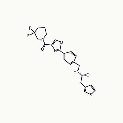 O=C(Cc1ccsc1)NCc1ccc(-c2nc(C(=O)N3CCCC(F)(F)C3)co2)cc1